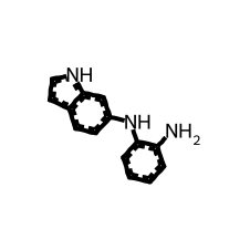 Nc1ccccc1Nc1ccc2cc[nH]c2c1